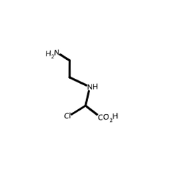 NCCNC(Cl)C(=O)O